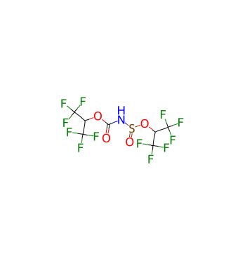 O=C(NS(=O)OC(C(F)(F)F)C(F)(F)F)OC(C(F)(F)F)C(F)(F)F